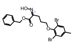 Cc1cc(Br)c(OCCC/C(=N/O)C(=O)OCc2ccccc2)c(Br)c1